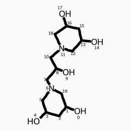 OC1CC(O)CN(CC(O)CN2CC(O)CC(O)C2)C1